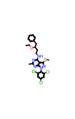 CCOC(CCNc1nc(C)nc2c1c(SC)nn2-c1c(Cl)cc(Cl)cc1Cl)Cc1ccccc1